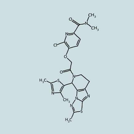 Cc1nc(C)c(C2c3c(nc4sc(C)nn34)CCN2C(=O)COc2ccc(C(=O)N(C)C)nc2Cl)s1